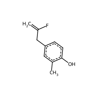 C=C(F)Cc1ccc(O)c(C)c1